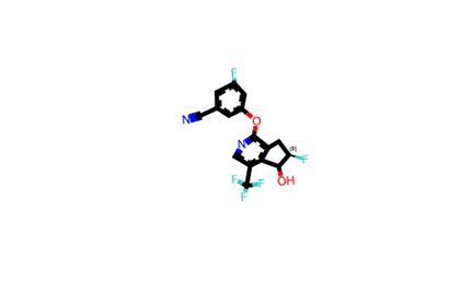 N#Cc1cc(F)cc(Oc2ncc(C(F)(F)F)c3c2C[C@@H](F)C3O)c1